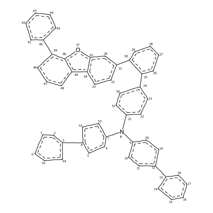 c1ccc(-c2ccc(N(c3ccc(-c4ccccc4)cc3)c3ccc(-c4ccccc4-c4ccc5c(c4)oc4c(-c6ccccc6)cccc45)cc3)cc2)cc1